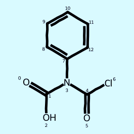 O=C(O)N(C(=O)Cl)c1ccccc1